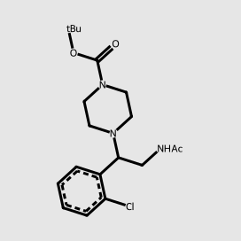 CC(=O)NCC(c1ccccc1Cl)N1CCN(C(=O)OC(C)(C)C)CC1